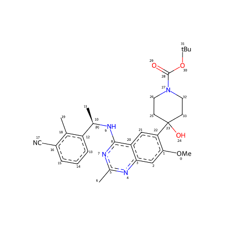 COc1cc2nc(C)nc(N[C@H](C)c3cccc(C#N)c3C)c2cc1C1(O)CCN(C(=O)OC(C)(C)C)CC1